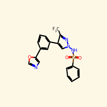 O=S(=O)(Nn1cc(-c2cccc(-c3cnco3)c2)c(C(F)(F)F)n1)c1ccccc1